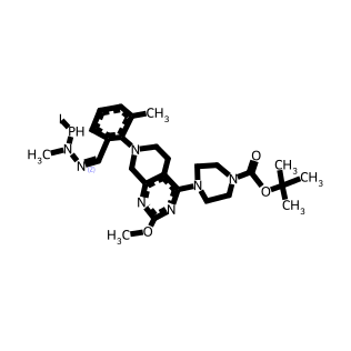 COc1nc2c(c(N3CCN(C(=O)OC(C)(C)C)CC3)n1)CCN(c1c(C)cccc1/C=N\N(C)PI)C2